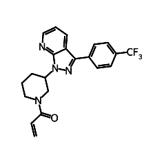 C=CC(=O)N1CCCC(n2nc(-c3ccc(C(F)(F)F)cc3)c3cccnc32)C1